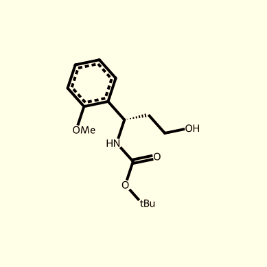 COc1ccccc1[C@H](CCO)NC(=O)OC(C)(C)C